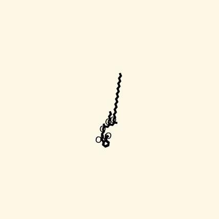 CCCCCCCCCCCCCCCCCCOC(C)CC(CC(C)OCCN1C(=O)c2ccccc2C1=O)OCCCC